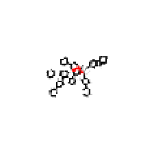 C1=CC2c3c(-c4cccc5c4c4c(n5-c5cc(-c6ccccc6)ccc5C5=NC(c6ccc7c(c6)sc6ccccc67)=NC(c6ccc(-c7ccccc7)cc6)N5)=CCCC=4)cccc3N(c3ccccc3)C2C=C1c1ccccc1